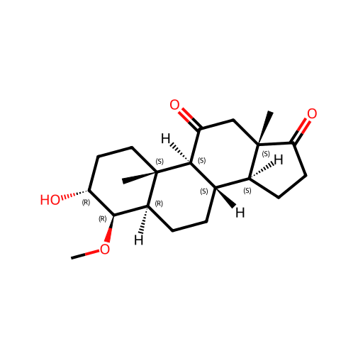 CO[C@H]1[C@H](O)CC[C@@]2(C)[C@H]1CC[C@@H]1[C@@H]2C(=O)C[C@]2(C)C(=O)CC[C@@H]12